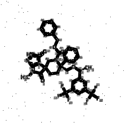 CNC(=O)C1(n2cn[nH]c2=O)CC[C@@](CO[C@H](C)c2cc(C(F)(F)F)cc(C(F)(F)F)c2)(c2ccccc2)N(C(=O)OCc2ccccc2)C1